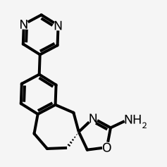 NC1=N[C@@]2(CCCc3ccc(-c4cncnc4)cc3C2)CO1